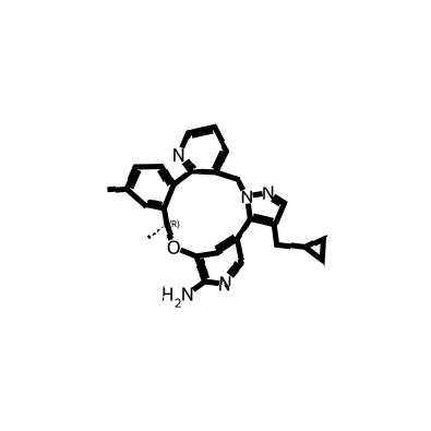 Cc1ccc2c(c1)[C@@H](C)Oc1cc(cnc1N)-c1c(CC3CC3)cnn1Cc1cccnc1-2